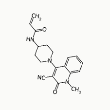 C=CC(=O)NC1CCN(c2c(C#N)c(=O)n(C)c3ccccc23)CC1